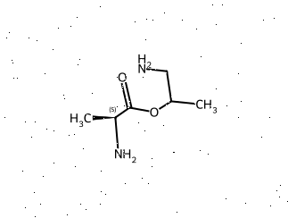 CC(CN)OC(=O)[C@H](C)N